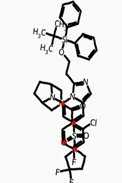 CC(C)(C)[Si](OCCc1ncc2cc(S(=O)(=O)N3CCC(F)(F)C3)cc(N3C4CCC3CN(C(=O)c3ccc(F)cc3Cl)C4)n12)(c1ccccc1)c1ccccc1